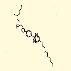 CCCCCCCCCCc1cnc(-c2ccc(OCC(F)CCC(C)CCCC)cc2)nc1